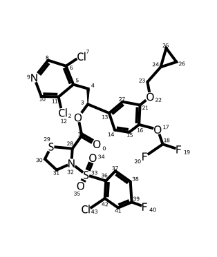 O=C(O[C@@H](Cc1c(Cl)cncc1Cl)c1ccc(OC(F)F)c(OCC2CC2)c1)C1SCCN1S(=O)(=O)c1ccc(F)cc1Cl